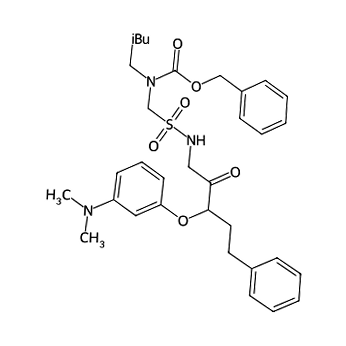 CCC(C)CN(CS(=O)(=O)NCC(=O)C(CCc1ccccc1)Oc1cccc(N(C)C)c1)C(=O)OCc1ccccc1